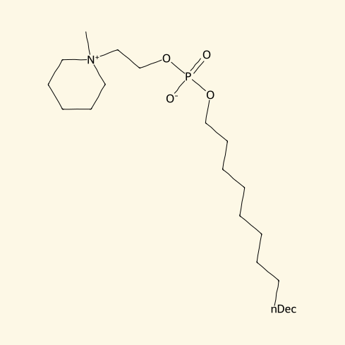 CCCCCCCCCCCCCCCCCCOP(=O)([O-])OCC[N+]1(C)CCCCC1